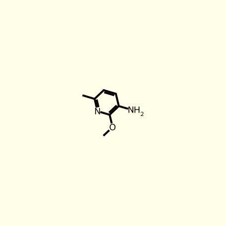 COc1nc(C)ccc1N